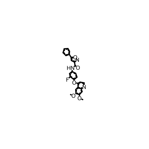 COc1cc2nccc(Oc3ccc(NC(=O)c4cc(-c5ccccc5)on4)cc3F)c2cc1OC